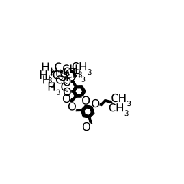 COc1c([C@H](CC(C)C)O[Si](C)(C)C(C)(C)C)ccc2c1C(=O)OCc1cc(C=O)cc(OCCC(C)C)c1O2